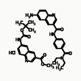 CCN(CC)C(=O)c1ccc(NC(=O)c2cnc3ccc(N)cc3c2)cc1.COC(=O)c1cnc2ccc(NC(=O)OC(C)(C)C)cc2c1.Cl